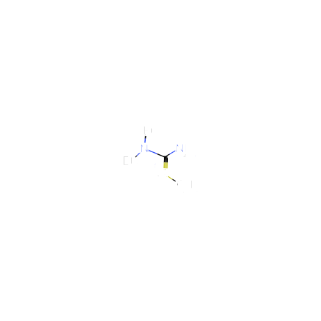 CCN(CC)/C(N)=[S+]/C.[I-]